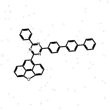 c1ccc(-c2ccc(-c3ccc(-c4nc(-c5ccccc5)nc(-c5cc6cccc7oc8cccc5c8c67)n4)cc3)cc2)cc1